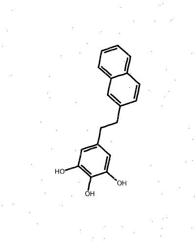 Oc1cc(CCc2ccc3ccccc3c2)cc(O)c1O